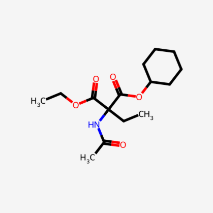 CCOC(=O)C(CC)(NC(C)=O)C(=O)OC1CCCCC1